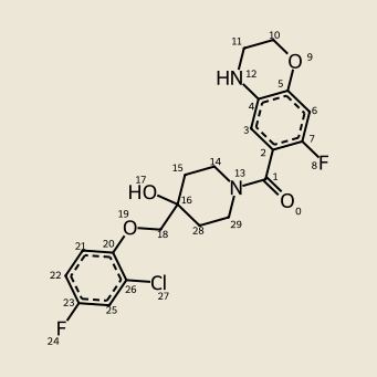 O=C(c1cc2c(cc1F)OCCN2)N1CCC(O)(COc2ccc(F)cc2Cl)CC1